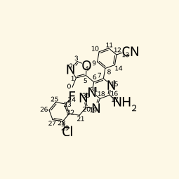 Cc1ncoc1-c1c(-c2cccc(C#N)c2)nc(N)c2nc(Cc3c(F)cccc3Cl)nn12